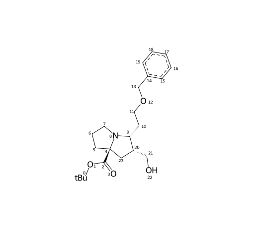 CC(C)(C)OC(=O)[C@@]12CCCN1[C@H](CCOCc1ccccc1)[C@H](CO)C2